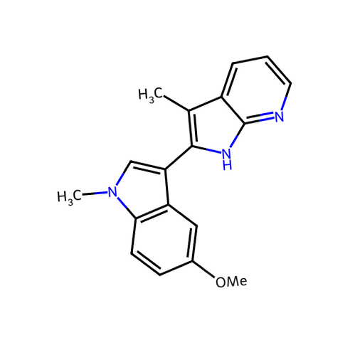 COc1ccc2c(c1)c(-c1[nH]c3ncccc3c1C)cn2C